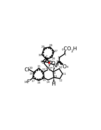 O=C(O)CCC(=O)N(C1CC1)[C@@]12CCC[C@@H]1Cc1cc(F)c(Cl)cc1[N@@+]2(Cc1ccccc1)C(=O)O